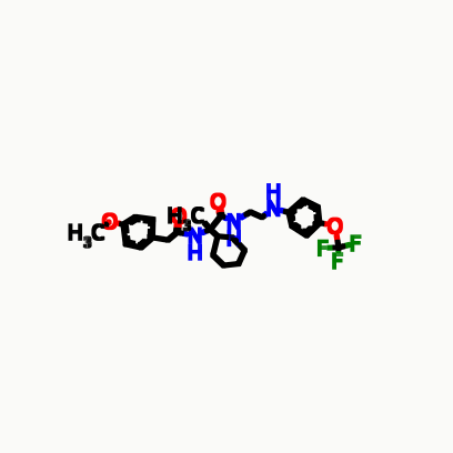 COc1ccc(CC(=O)NC(C)(C(=O)NCCNc2ccc(OC(F)(F)F)cc2)C2CCCCC2)cc1